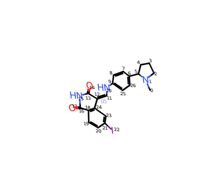 CN1CCCC1c1ccc(N/C=C2\C(=O)NC(=O)c3ccc(I)cc32)cc1